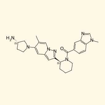 Cc1cn2nc([C@@H]3CCCCN3C(=O)c3ccc4c(c3)ncn4C)cc2cc1N1CC[C@H](N)C1